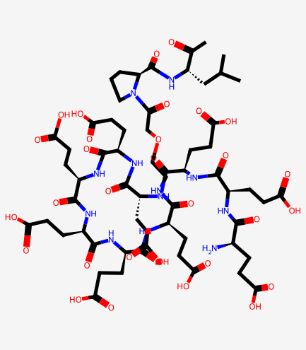 CC(=O)[C@H](CC(C)C)NC(=O)[C@@H]1CCCN1C(=O)COCCNC(=O)[C@@H](CCC(=O)O)NC(=O)[C@@H](CCC(=O)O)NC(=O)[C@@H](CCC(=O)O)NC(=O)[C@@H](CCC(=O)O)NC(=O)[C@@H](CCC(=O)O)NC(=O)[C@@H](CCC(=O)O)NC(=O)[C@@H](CCC(=O)O)NC(=O)[C@@H](CCC(=O)O)NC(=O)[C@H](N)CCC(=O)O